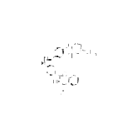 CN1CCC(Oc2ccc(-c3n[nH]c4ccc(C(=O)NC(c5ccccc5)C5CC5)cc34)cc2Cl)CC1